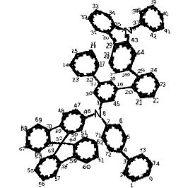 c1ccc(-c2ccc(N(c3cc(-c4ccccc4)cc(-c4ccccc4-c4ccc5c6ccccc6n(-c6ccccc6)c5c4)c3)c3ccc4c(c3)C3(c5ccccc5-c5ccccc53)c3ccccc3-4)cc2)cc1